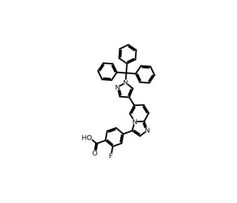 O=C(O)c1ccc(-c2cnc3ccc(-c4cnn(C(c5ccccc5)(c5ccccc5)c5ccccc5)c4)cn23)cc1F